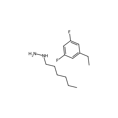 CCCCCCNN.CCc1cc(F)cc(F)c1